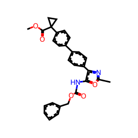 COC(=O)C1(c2ccc(-c3ccc(-c4nc(C)oc4NC(=O)OCc4ccccc4)cc3)cc2)CC1